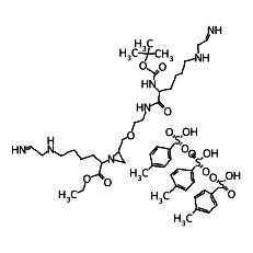 CCOC(=O)C(CCCCNCC=N)N1CC1COCCNC(=O)C(CCCCNCC=N)NC(=O)OC(C)(C)C.Cc1ccc(S(=O)(=O)O)cc1.Cc1ccc(S(=O)(=O)O)cc1.Cc1ccc(S(=O)(=O)O)cc1